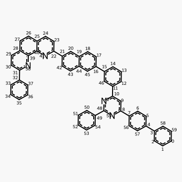 c1ccc(-c2ccc(-c3cc(-c4cccc(-c5ccc6cc(-c7ccc8ccc9ccc(-c%10ccccc%10)nc9c8n7)ccc6c5)c4)nc(-c4ccccc4)n3)cc2)cc1